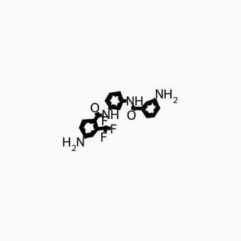 Nc1cccc(C(=O)Nc2cccc(NC(=O)c3ccc(N)cc3C(F)(F)F)c2)c1